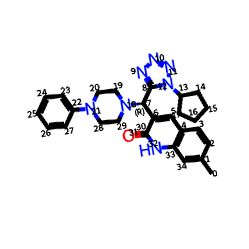 Cc1ccc2cc([C@H](c3nnnn3C3CCCC3)N3CCN(c4ccccc4)CC3)c(=O)[nH]c2c1